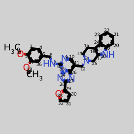 COc1ccc(CNc2ncc(CN3CCc4c([nH]c5ccccc45)C3)c3nc(-c4ccco4)nn23)cc1OC